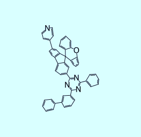 c1ccc(-c2cccc(-c3nc(-c4ccccc4)nc(-c4ccc5c(c4)C4(c6ccccc6Oc6ccccc64)c4cc(-c6ccncc6)ccc4-5)n3)c2)cc1